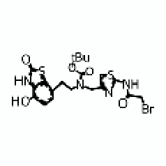 CC(C)(C)OC(=O)N(CCc1ccc(O)c2[nH]c(=O)sc12)Cc1csc(NC(=O)CBr)n1